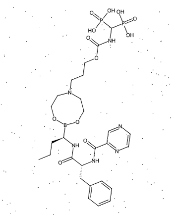 CCC[C@H](NC(=O)[C@@H](Cc1ccccc1)NC(=O)c1cnccn1)B1OCCN(CCCOC(=O)NC(P(=O)(O)O)P(=O)(O)O)CCO1